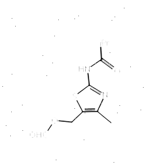 Cc1nc(NC(=O)C(C)C)sc1COC=O